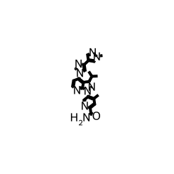 Cc1cc(C(N)=O)ncc1-n1nc(C(C)C)c2c(-n3cnc(-c4cnn(C)c4)c3)ccnc21